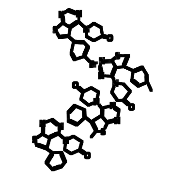 Cc1ccc(-c2csc3ncnc(N4CCC(=O)CC4)c23)cc1.Cc1sc2ncnc(N3CCC(=O)CC3)c2c1-c1ccccc1.O=C1CCN(c2ncnc3scc(-c4ccc(Br)cc4)c23)CC1.O=C1CCN(c2ncnc3scc(-c4ccccc4)c23)CC1